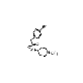 CN1CCC(NS(=O)(=O)Cc2ccc(Br)cc2)CC1